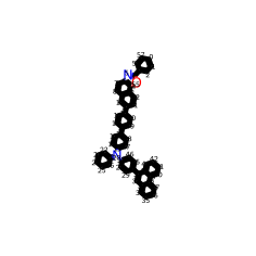 c1ccc(-c2nc3ccc4cc(-c5ccc(-c6ccc(N(c7ccccc7)c7ccc(-c8cc9ccccc9c9ccccc89)cc7)cc6)cc5)ccc4c3o2)cc1